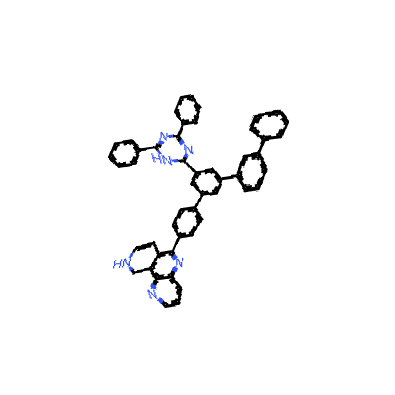 C1=Cc2c(-c3ccc(-c4cc(-c5cccc(-c6ccccc6)c5)cc(C5N=C(c6ccccc6)N=C(c6ccccc6)N5)c4)cc3)nc3cccnc3c2CN1